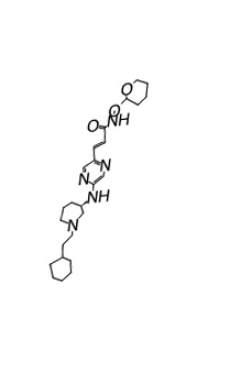 O=C(C=Cc1cnc(N[C@@H]2CCCN(CCC3CCCCC3)C2)cn1)NOC1CCCCO1